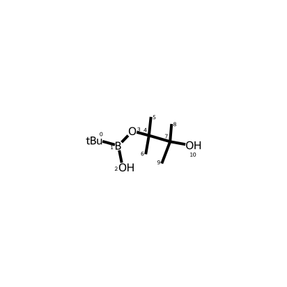 CC(C)(C)B(O)OC(C)(C)C(C)(C)O